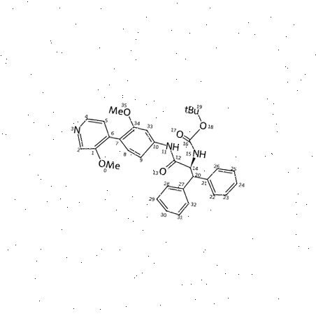 COc1cnccc1-c1ccc(NC(=O)[C@@H](NC(=O)OC(C)(C)C)C(c2ccccc2)c2ccccc2)cc1OC